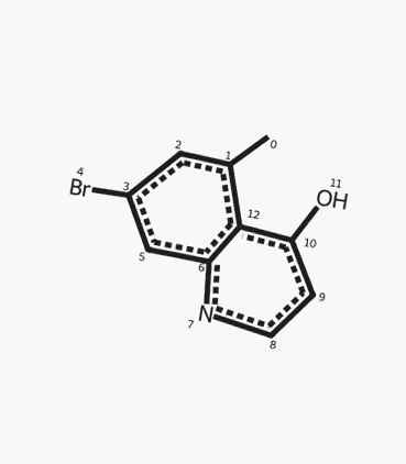 Cc1cc(Br)cc2nccc(O)c12